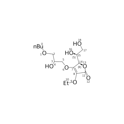 CCCCOCC(O)COC1=C(OCC)C(=O)O[C@@H]1[C@@H](O)CO